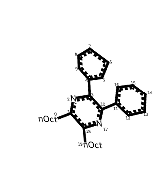 CCCCCCCCc1nc(-c2ccccc2)c(-c2ccccc2)nc1CCCCCCCC